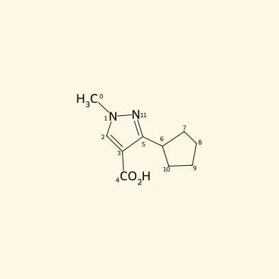 Cn1cc(C(=O)O)c(C2CCCC2)n1